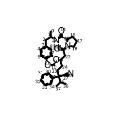 CC(Cc1ccc2c(c1)OCO2)NC(=O)[C@H]1CCCN1C(=O)CCCCC(C#N)(c1ccccc1)C(C)C